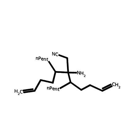 C=CCCC(CCCCC)C(N)(CC#N)C(CCC=C)CCCCC